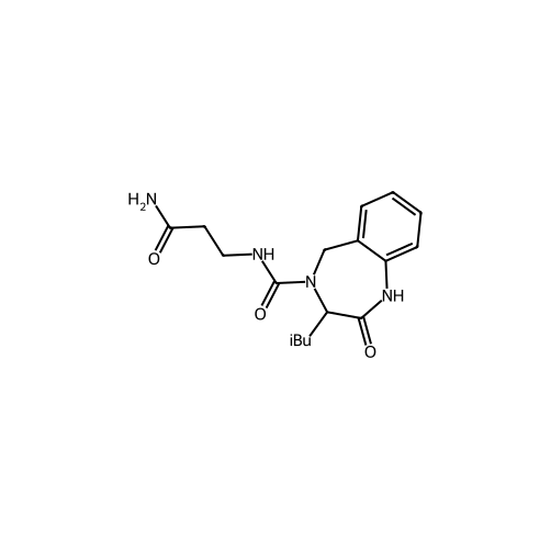 CCC(C)C1C(=O)Nc2ccccc2CN1C(=O)NCCC(N)=O